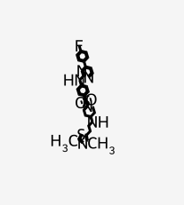 Cc1nc(C)c(CCNC2CCN(S(=O)(=O)c3ccc(Nc4nccc(-c5ccc(F)cc5)n4)cc3)CC2)s1